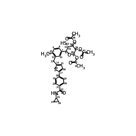 CC(=O)O[C@H]1OC(c2ccc(C)c(Cc3ccc(-c4ccc(C(=O)NC5CC5)cc4)s3)c2)[C@H](S)[C@@H](OC(C)=O)[C@@H]1OC(C)=O